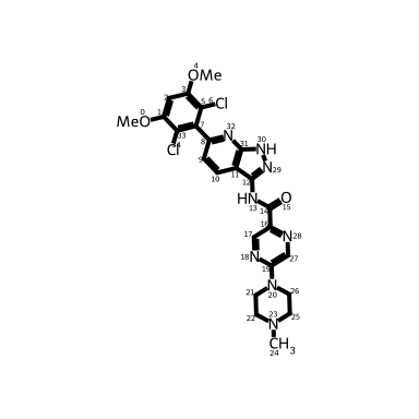 COc1cc(OC)c(Cl)c(-c2ccc3c(NC(=O)c4cnc(N5CCN(C)CC5)cn4)n[nH]c3n2)c1Cl